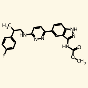 COC(=O)Nc1n[nH]c2ccc(-c3ccc(NCC(C)c4ccc(F)cc4)nn3)cc12